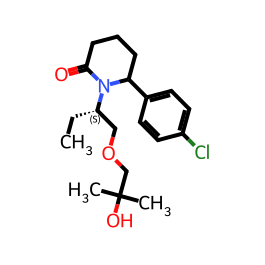 CC[C@@H](COCC(C)(C)O)N1C(=O)CCCC1c1ccc(Cl)cc1